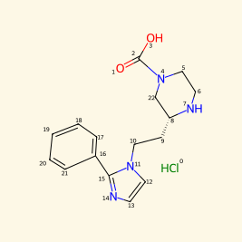 Cl.O=C(O)N1CCN[C@H](CCn2ccnc2-c2ccccc2)C1